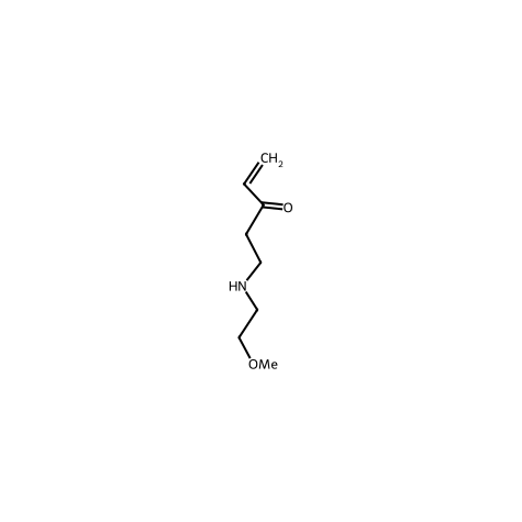 C=CC(=O)CCNCCOC